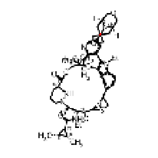 CCO[C@@H]1C2=NC(CS2)c2ccc3c(c2)c(c(-c2cc(C4C[C@H]5COC[C@@H](C4)N5C4COC4)cnc2[C@H](C)OC)n3CC)CC(C)(C)COC(=O)[C@@H]2CCCN(N2)C(=O)[C@H]1NC(=O)[C@H]1[C@H](C)[C@@H]1C